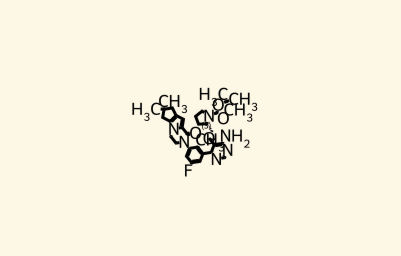 Cc1c(-c2ncnc(N)c2OC[C@@H]2CCCN2C(=O)OC(C)(C)C)cc(F)cc1N1CCn2c(cc3c2CC(C)(C)C3)C1=O